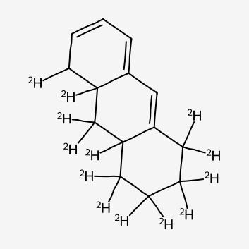 [2H]C1C=CC=C2C=C3C([2H])([2H])C([2H])([2H])C([2H])([2H])C([2H])([2H])C3([2H])C([2H])([2H])C21[2H]